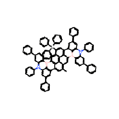 Cc1cc2c3c(cc4c([Si](c5ccccc5)(c5ccccc5)c5ccccc5)cc5c6c(cc1c3c46)B1c3ccc(-c4ccccc4)cc3N(c3ccccc3)c3cc(-c4ccccc4)cc-5c31)B1c3ccc(-c4ccccc4)cc3N(c3ccccc3)c3cc(-c4ccccc4)cc-2c31